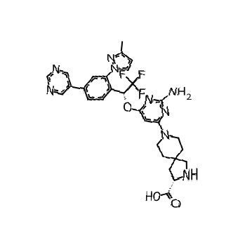 Cc1ccn(-c2cc(-c3cncnc3)ccc2[C@@H](Oc2cc(N3CCC4(CC3)CN[C@H](C(=O)O)C4)nc(N)n2)C(F)(F)F)n1